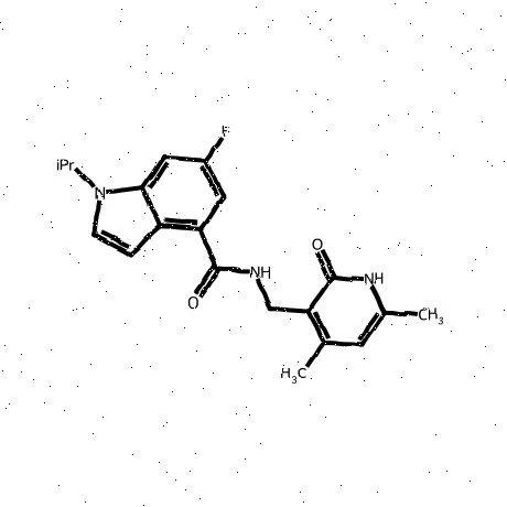 Cc1cc(C)c(CNC(=O)c2cc(F)cc3c2ccn3C(C)C)c(=O)[nH]1